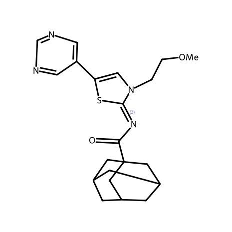 COCCn1cc(-c2cncnc2)s/c1=N\C(=O)C12CC3CC(CC(C3)C1)C2